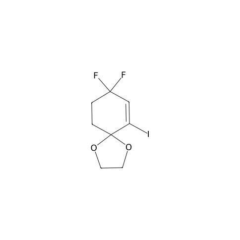 FC1(F)C=C(I)C2(CC1)OCCO2